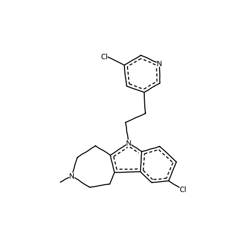 CN1CCc2c(n(CCc3cncc(Cl)c3)c3ccc(Cl)cc23)CC1